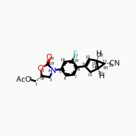 CC(=O)OC[C@H]1CN(c2ccc(C3=C[C@H]4[C@H](C#N)[C@H]4C3)c(F)c2)C(=O)O1